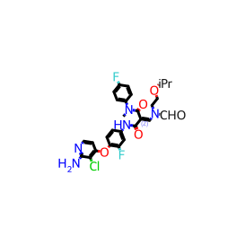 CC(C)OCCN(C=O)/C=C(/C(=O)Nc1ccc(Oc2ccnc(N)c2Cl)c(F)c1)C(=O)N(C)c1ccc(F)cc1